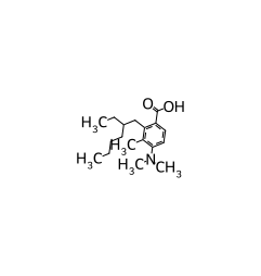 CCCCC(CC)Cc1c(C(=O)O)ccc(N(C)C)c1C